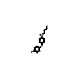 CCCCNc1ccc(Oc2ccc(F)cc2)cc1